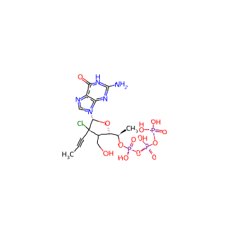 CC#CC1(Cl)C(CO)[C@@H]([C@@H](C)OP(=O)(O)OP(=O)(O)OP(=O)(O)O)O[C@H]1n1cnc2c(=O)[nH]c(N)nc21